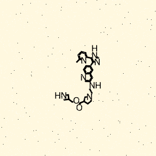 Cc1cccc(-c2[nH]cnc2-c2ccc3ncc(NCCN4CCC(C(=O)OCC5CNC5)C4)cc3c2)n1